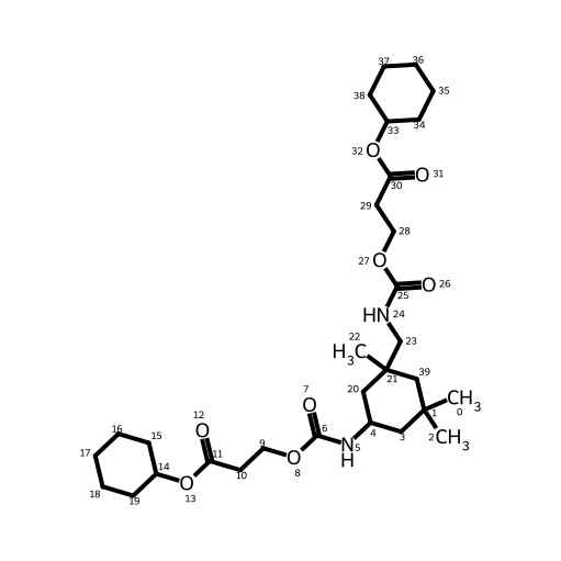 CC1(C)CC(NC(=O)OCCC(=O)OC2CCCCC2)CC(C)(CNC(=O)OCCC(=O)OC2CCCCC2)C1